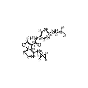 Cc1oc2ncnc(NC3(C)CC3)c2c1C(=O)Nc1cnc(NCC(C)C)nc1